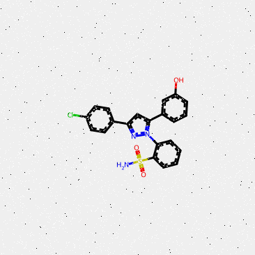 NS(=O)(=O)c1ccccc1-n1nc(-c2ccc(Cl)cc2)cc1-c1cccc(O)c1